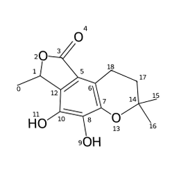 CC1OC(=O)c2c3c(c(O)c(O)c21)OC(C)(C)CC3